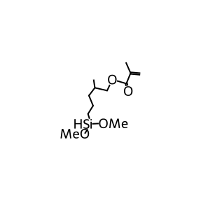 C=C(C)C(=O)OCC(C)CCC[SiH](OC)OC